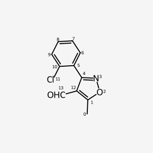 Cc1onc(-c2ccccc2Cl)c1C=O